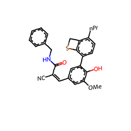 CCCc1ccc(-c2cc(C=C(C#N)C(=O)NCc3ccccc3)cc(OC)c2O)c2c1CS2